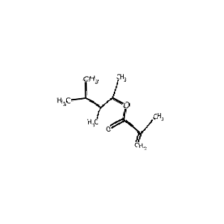 C=C(C)C(=O)OC(C)C(C)C(C)C